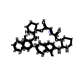 Cc1c(NC2NCCCN2OC(=O)/C=C/C(=O)ON2CCCNC2Nc2ccc3nccnc3c2C)ccc2nccnc12